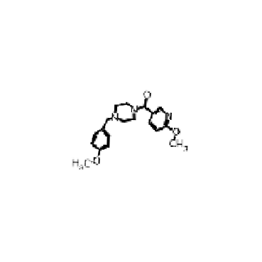 COc1ccc(CN2CCN(C(=O)c3ccc(OC)nc3)CC2)cc1